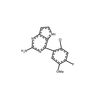 COc1cc(-c2nc(N)nc3cc[nH]c23)c(Cl)cc1F